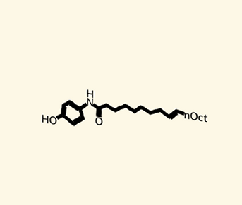 CCCCCCCCC=CCCCCCCCC(=O)Nc1ccc(O)cc1